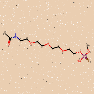 CC(C)OP(O)(=S)OCCOCCOCCOCCNC(=O)C(C)C